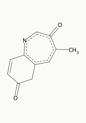 Cc1cc2c(ncc1=O)C=CC(=O)C2